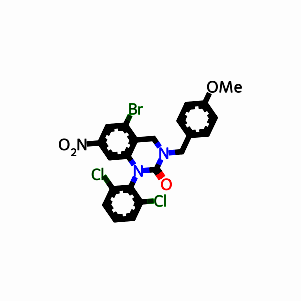 COc1ccc(CN2Cc3c(Br)cc([N+](=O)[O-])cc3N(c3c(Cl)cccc3Cl)C2=O)cc1